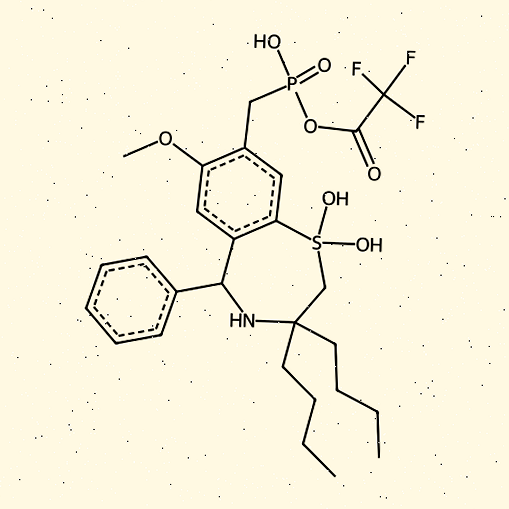 CCCCC1(CCCC)CS(O)(O)c2cc(CP(=O)(O)OC(=O)C(F)(F)F)c(OC)cc2C(c2ccccc2)N1